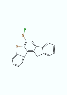 FSc1cc2c(c3c1sc1ccccc13)Cc1ccccc1-2